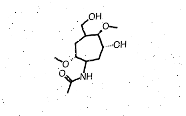 CO[C@@H]1C(CO)C[C@@H](OC)C(NC(C)=O)C[C@H]1O